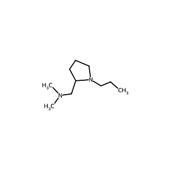 CCCN1CCCC1CN(C)C